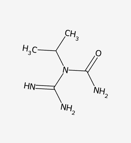 CC(C)N(C(=N)N)C(N)=O